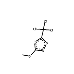 CSc1nnc(C(Cl)(Cl)Cl)s1